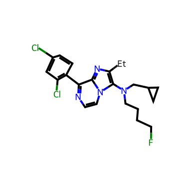 CCc1nc2c(-c3ccc(Cl)cc3Cl)nccn2c1N(CCCCF)CC1CC1